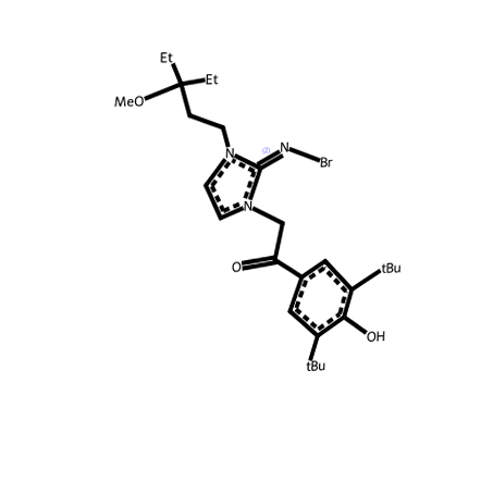 CCC(CC)(CCn1ccn(CC(=O)c2cc(C(C)(C)C)c(O)c(C(C)(C)C)c2)/c1=N\Br)OC